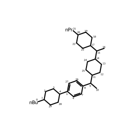 CCCCC1CCC(c2ccc(C(C)C3CCC(C(C)C4CCC(CCC)CC4)CC3)cc2)CC1